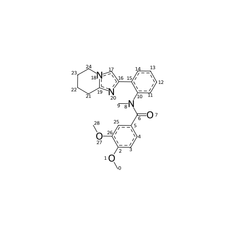 COc1ccc(C(=O)N(C)c2ccccc2-c2cn3c(n2)CCCC3)cc1OC